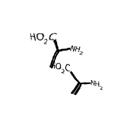 C=C(N)C(=O)O.C=C(N)C(=O)O